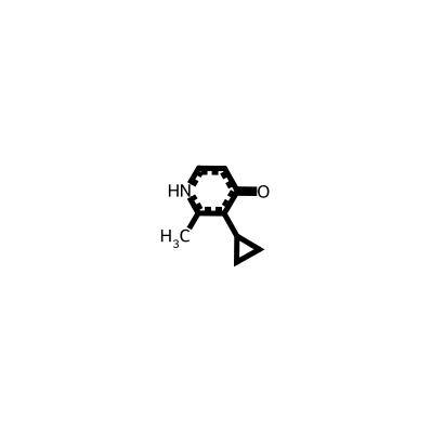 Cc1[nH]ccc(=O)c1C1CC1